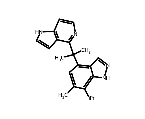 Cc1cc(C(C)(C)c2nccc3[nH]ccc23)c2cn[nH]c2c1C(C)C